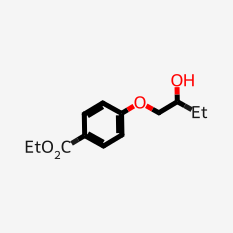 CCOC(=O)c1ccc(OCC(O)CC)cc1